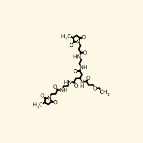 CCOCCC(=O)NC(CC(=O)NCCNC(=O)CCN1C(=O)CC(C)C1=O)CC(=O)NCCNC(=O)CCN1C(=O)CC(C)C1=O